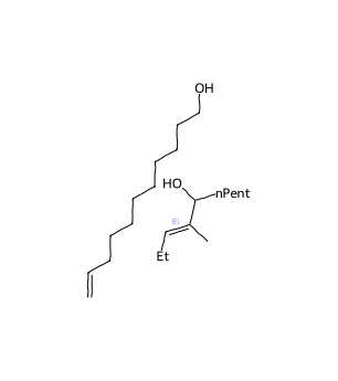 C=CCCCCCCCCCO.CC/C=C(\C)C(O)CCCCC